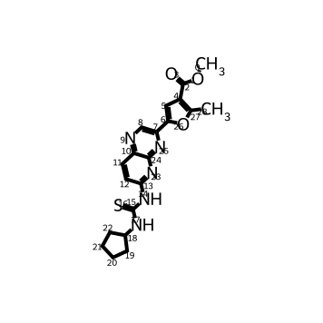 COC(=O)c1cc(-c2cnc3ccc(NC(=S)NC4CCCC4)nc3n2)oc1C